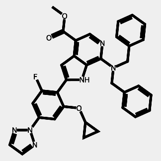 COC(=O)c1cnc(N(Cc2ccccc2)Cc2ccccc2)c2[nH]c(-c3c(F)cc(-n4nccn4)cc3OC3CC3)cc12